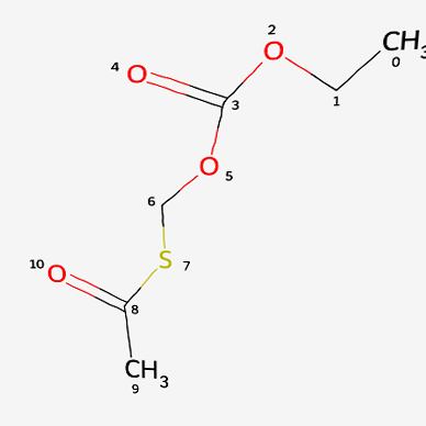 CCOC(=O)OCSC(C)=O